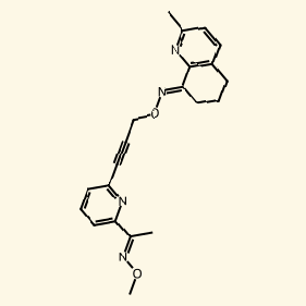 CO/N=C(\C)c1cccc(C#CCON=C2CCCc3ccc(C)nc32)n1